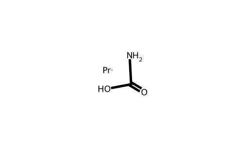 NC(=O)O.[Pr]